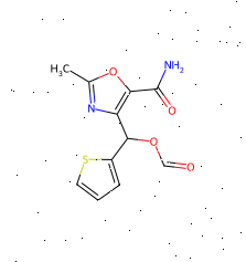 Cc1nc(C(OC=O)c2cccs2)c(C(N)=O)o1